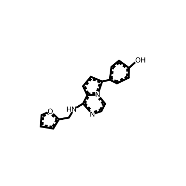 Oc1ccc(-c2ccc3c(NCc4ccco4)nccn23)cc1